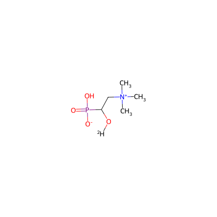 [2H]OC(C[N+](C)(C)C)P(=O)([O-])O